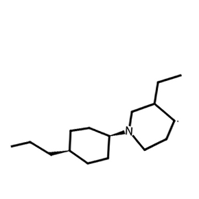 CCC[C@H]1CC[C@@H](N2CC[CH]C(CC)C2)CC1